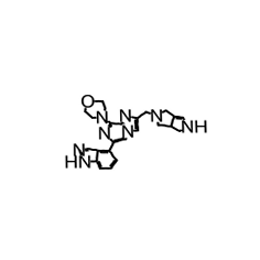 C1=C2CN(Cc3cn4cc(-c5cccc6[nH]ncc56)nc(N5CCOCC5)c4n3)CC2CN1